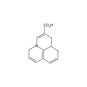 O=C(O)C1=CN2CC=CC3=C2C(CC=C3)C1